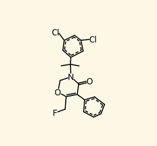 CC(C)(c1cc(Cl)cc(Cl)c1)N1COC(CF)=C(c2ccccc2)C1=O